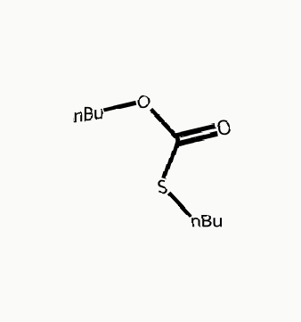 CCCCOC(=O)SCCCC